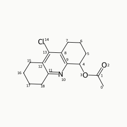 CC(=O)OC1CCCc2c1nc1c(c2Cl)CCCC1